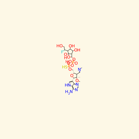 C/N=C/C1[C@@H](COP(=O)(S)OP(=O)(O)OC2OC3(O)C2C(O)C(O)C3[C@@H](F)CO)O[C@@H](c2c[nH]c3c(N)ncnc23)[C@]1(C)OC